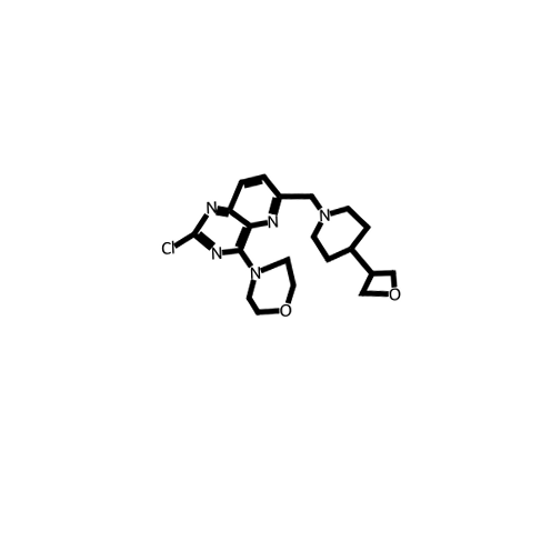 Clc1nc(N2CCOCC2)c2nc(CN3CCC(C4COC4)CC3)ccc2n1